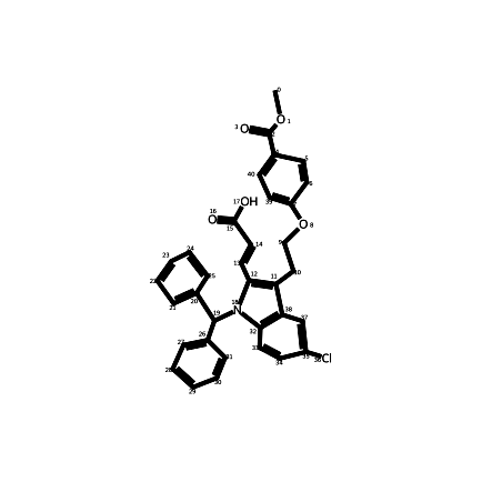 COC(=O)c1ccc(OCCc2c(C=CC(=O)O)n(C(c3ccccc3)c3ccccc3)c3ccc(Cl)cc23)cc1